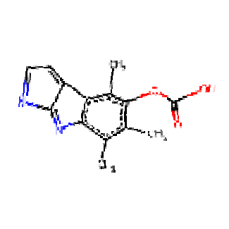 Cc1c(C)c(OC(=O)O)c(C)c2c1N=C1N=CC=C12